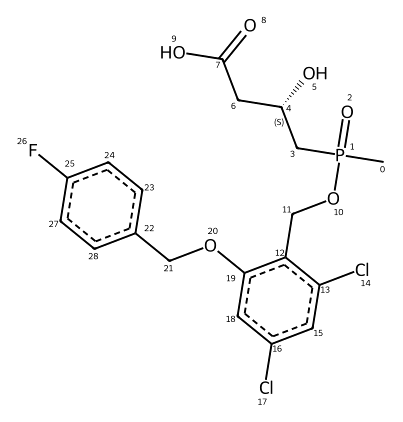 CP(=O)(C[C@@H](O)CC(=O)O)OCc1c(Cl)cc(Cl)cc1OCc1ccc(F)cc1